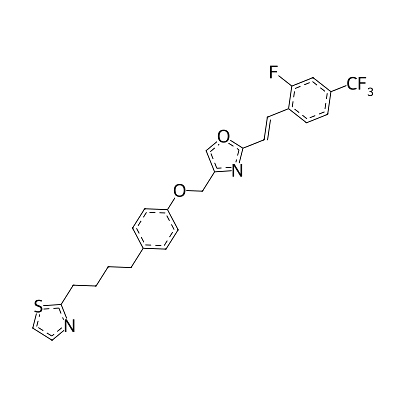 Fc1cc(C(F)(F)F)ccc1C=Cc1nc(COc2ccc(CCCCc3nccs3)cc2)co1